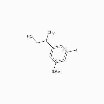 [CH2]C(CO)c1cc(I)cc(SC)c1